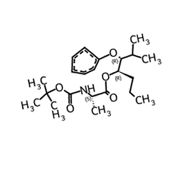 CCC[C@@H](OC(=O)[C@H](C)NC(=O)OC(C)(C)C)[C@H](Oc1ccccc1)C(C)C